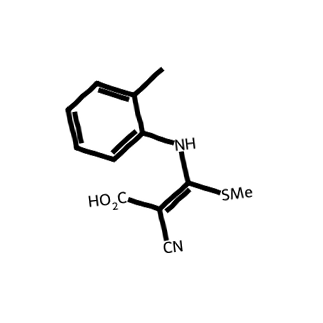 CSC(Nc1ccccc1C)=C(C#N)C(=O)O